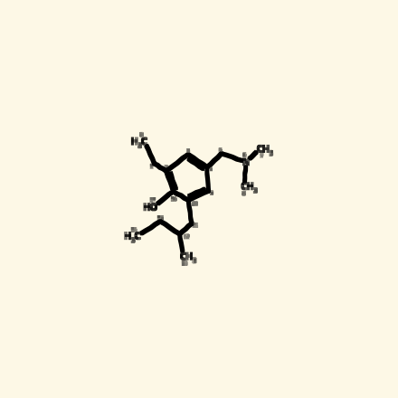 CCc1cc(CN(C)C)cc(CC(C)CC)c1O